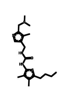 CCCCc1sc(NC(=O)NCc2csc(CN(C)C)c2C)c(C)c1C